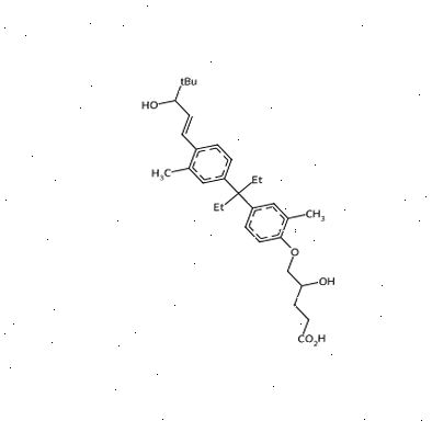 CCC(CC)(c1ccc(C=CC(O)C(C)(C)C)c(C)c1)c1ccc(OCC(O)CCC(=O)O)c(C)c1